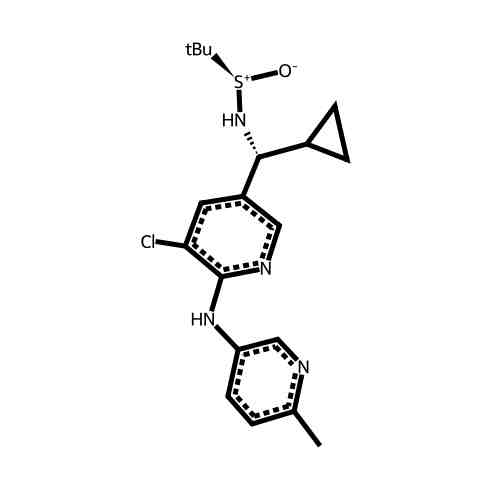 Cc1ccc(Nc2ncc([C@H](N[S@+]([O-])C(C)(C)C)C3CC3)cc2Cl)cn1